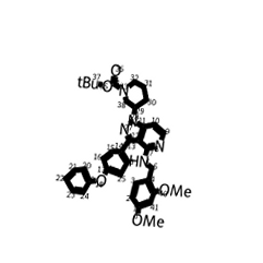 COc1ccc(CNc2nccc3c2c(-c2ccc(Oc4ccccc4)cc2)nn3C2CCCN(C(=O)OC(C)(C)C)C2)c(OC)c1